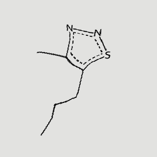 CCCc1snnc1C